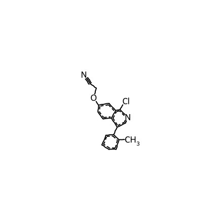 Cc1ccccc1-c1cnc(Cl)c2cc(OCC#N)ccc12